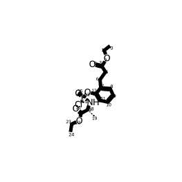 CCOC(=O)CCc1ccccc1OP(=O)(Cl)N[C@H](C)C(=O)OCC